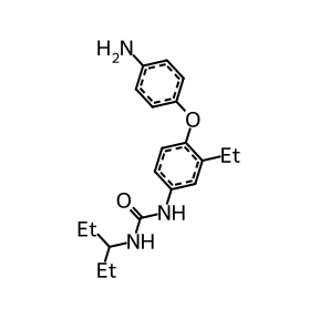 CCc1cc(NC(=O)NC(CC)CC)ccc1Oc1ccc(N)cc1